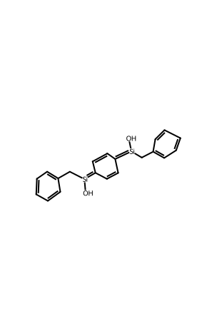 O[Si](Cc1ccccc1)=c1ccc(=[Si](O)Cc2ccccc2)cc1